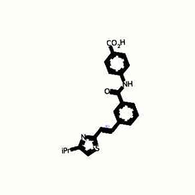 CC(C)c1csc(/C=C/c2cccc(C(=O)Nc3ccc(C(=O)O)cc3)c2)n1